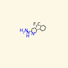 NNc1ccc(-c2ccccc2C(F)(F)F)cn1